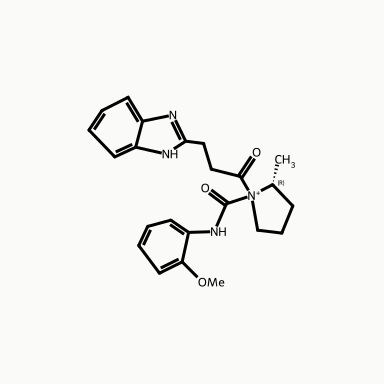 COc1ccccc1NC(=O)[N+]1(C(=O)CCc2nc3ccccc3[nH]2)CCC[C@H]1C